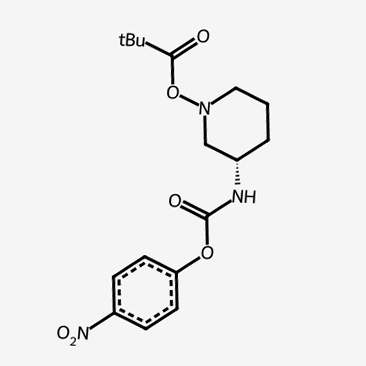 CC(C)(C)C(=O)ON1CCC[C@H](NC(=O)Oc2ccc([N+](=O)[O-])cc2)C1